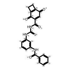 O=C1C=C(C(=O)NC(=S)Nc2cccc(NC(=O)c3ccccc3)c2)C(=O)C2=C1CC2